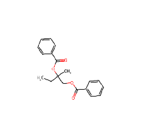 CCC(C)(COC(=O)c1ccccc1)OC(=O)c1ccccc1